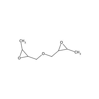 CC1OC1COCC1OC1C